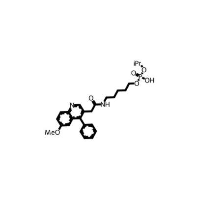 COc1ccc2ncc(CC(=O)NCCCCCOP(=O)(O)OC(C)C)c(-c3ccccc3)c2c1